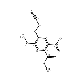 C#CCOc1cc([N+](=O)[O-])c(C(=O)OC)cc1OC